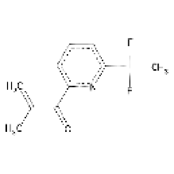 C=C(C)C(=O)c1cccc(C(C)(F)F)n1